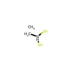 C.C[SiH](S)S